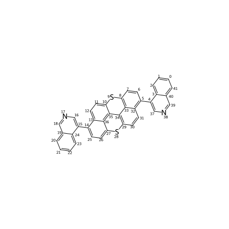 c1ccc2c(-c3ccc4sc5ccc6c(-c7cncc8ccccc78)ccc7sc8ccc3c4c8-c5c76)cncc2c1